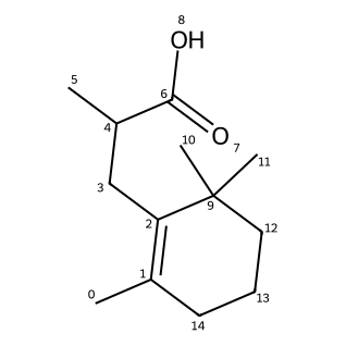 CC1=C(CC(C)C(=O)O)C(C)(C)CCC1